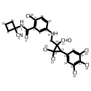 N#CC1(NC(=O)c2cc(NCC3(C=O)C(c4cc(Cl)c(Cl)c(Cl)c4)C3(Cl)Cl)ccc2Cl)CCC1